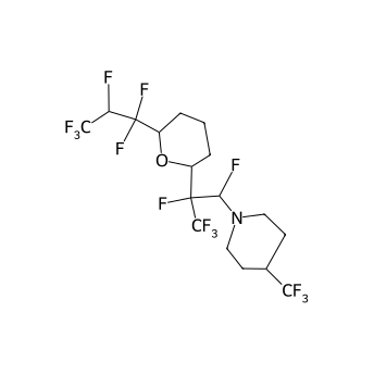 FC(C(F)(F)F)C(F)(F)C1CCCC(C(F)(C(F)N2CCC(C(F)(F)F)CC2)C(F)(F)F)O1